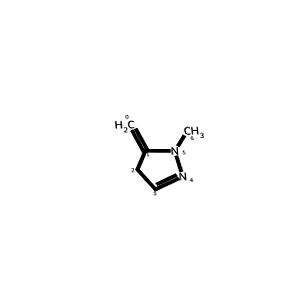 C=C1CC=NN1C